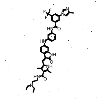 CCN(CC)CCNC(=O)c1c(C)[nH]c(/C=C2\C(=O)Nc3cc(Nc4cccc(NC(=O)c5cc(-n6cnc(C)c6)cc(C(F)(F)F)c5)c4)ccc32)c1C